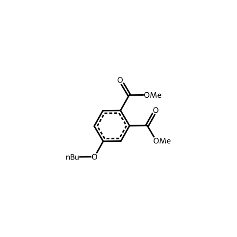 CCCCOc1ccc(C(=O)OC)c(C(=O)OC)c1